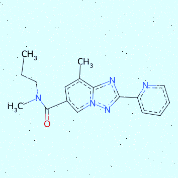 CCCN(C)C(=O)c1cc(C)c2nc(-c3ccccn3)nn2c1